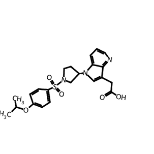 CC(C)Oc1ccc(S(=O)(=O)N2CC[C@@H](n3cc(CC(=O)O)c4ncccc43)C2)cc1